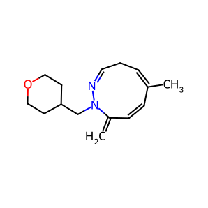 C=C1/C=C\C(C)=C/C/C=N\N1CC1CCOCC1